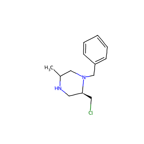 CC1CN(Cc2ccccc2)[C@@H](CCl)CN1